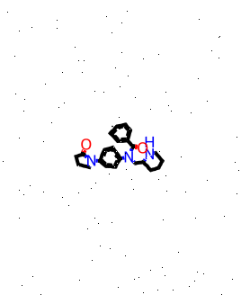 O=C1CCCN1c1ccc(N(CC2CCCCN2)C(=O)c2cc[c]cc2)cc1